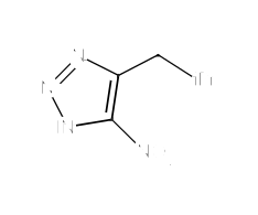 CC(C)Cc1nn[nH]c1[N+](=O)[O-]